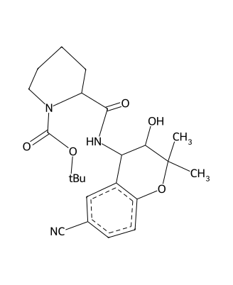 CC(C)(C)OC(=O)N1CCCCC1C(=O)NC1c2cc(C#N)ccc2OC(C)(C)C1O